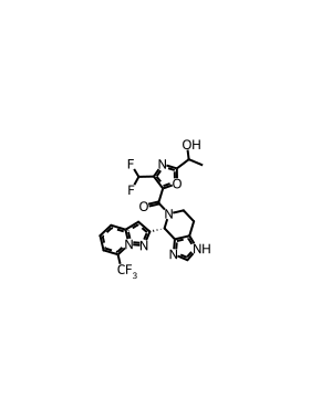 CC(O)c1nc(C(F)F)c(C(=O)N2CCc3[nH]cnc3[C@@H]2c2cc3cccc(C(F)(F)F)n3n2)o1